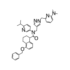 CC(C)c1ccc(N(Cc2cnn(Cc3cccc(N(C)C)n3)c2)C(=O)C2CCCc3c(OCc4ccccc4)cccc32)cn1